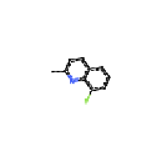 Cc1c[c]c2cccc(F)c2n1